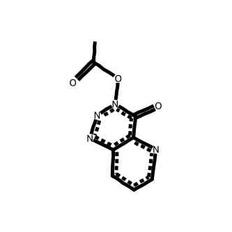 CC(=O)On1nnc2cccnc2c1=O